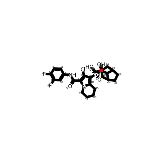 O=C(Nc1ccc(F)c(F)c1)c1c(Cl)c(S(=O)(=O)NC2C3CCC2CC(O)(CO)C3)c2n1CCCC2